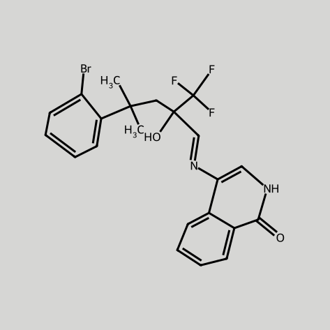 CC(C)(CC(O)(C=Nc1c[nH]c(=O)c2ccccc12)C(F)(F)F)c1ccccc1Br